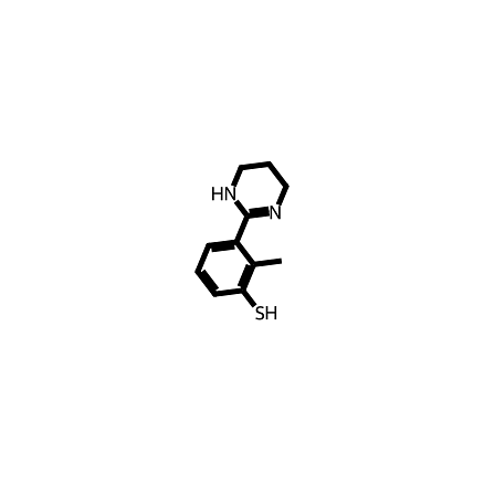 Cc1c(S)cccc1C1=NCCCN1